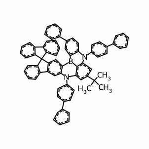 CC(C)(C)c1cc2c3c(c1)N(c1ccc(-c4ccccc4)cc1)c1cc4c(cc1B3c1cc(-c3ccccc3)ccc1N2c1ccc(-c2ccccc2)cc1)C1(c2ccccc2-c2ccccc21)c1ccccc1-4